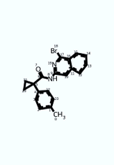 Cc1ccc(C2(C(=O)Nc3cc4ccccc4c(Br)n3)CC2)cc1